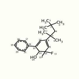 CC(C)(C)CC(C)(C)C1=CC(F)(I)C(O)C(c2ccccc2)=C1